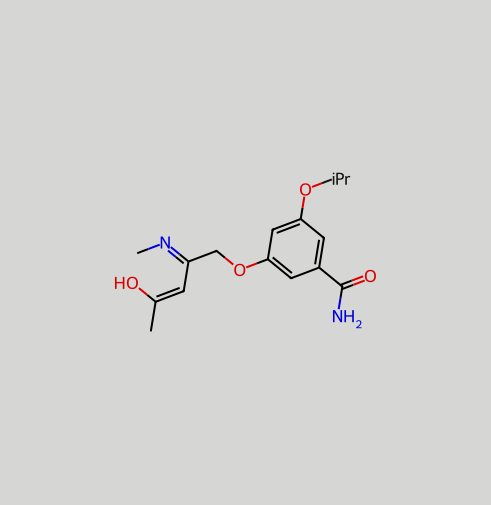 C/N=C(\C=C(\C)O)COc1cc(OC(C)C)cc(C(N)=O)c1